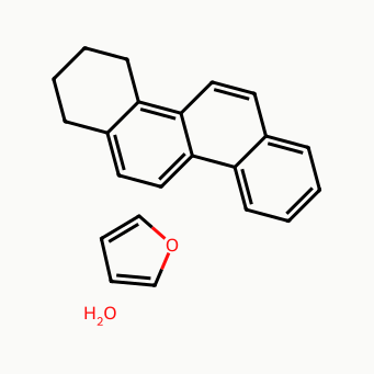 O.c1ccc2c(c1)ccc1c3c(ccc12)CCCC3.c1ccoc1